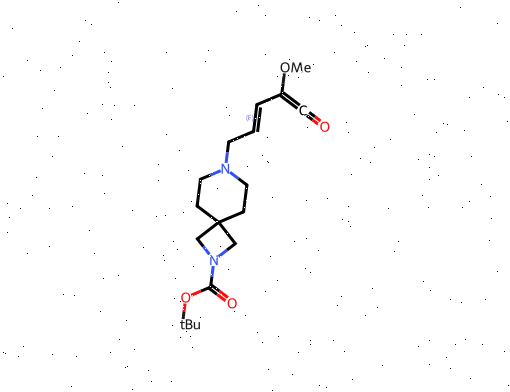 COC(=C=O)/C=C/CN1CCC2(CC1)CN(C(=O)OC(C)(C)C)C2